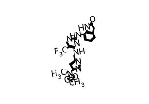 CN(c1cc(CNc2nc(Nc3cccc4c3NC(=O)C4)ncc2C(F)(F)F)ncn1)S(C)(=O)=O